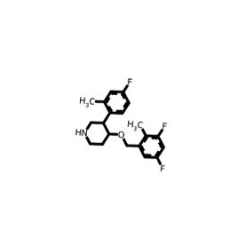 Cc1cc(F)ccc1C1CNCCC1OCc1cc(F)cc(F)c1C